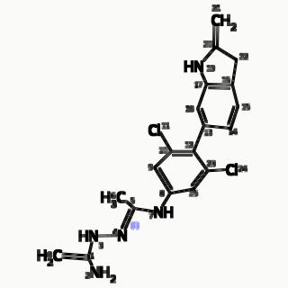 C=C(N)N/N=C(\C)Nc1cc(Cl)c(-c2ccc3c(c2)NC(=C)C3)c(Cl)c1